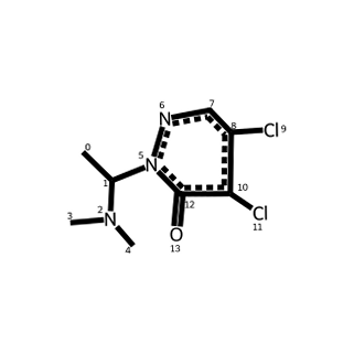 CC(N(C)C)n1ncc(Cl)c(Cl)c1=O